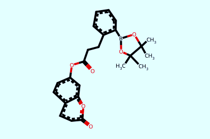 CC1(C)OB(c2ccccc2CCC(=O)Oc2ccc3ccc(=O)oc3c2)OC1(C)C